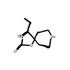 CCC1NC(=O)OC12CCNCC2